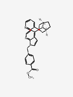 COC(=O)c1ccc(Cn2ccc3c(N4C[C@H]5CC[C@@H](C4)N5Cc4cccnc4)ccnc32)cc1